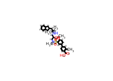 COc1ccc(-c2ccc(C(=O)O)c(C)c2)cc1S(=O)(=O)N(C)CC(O)CNC(C)(C)CC1Cc2ccccc2C1